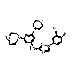 Fc1ccc(-n2cnc(Nc3cc(N4CCOCC4)nc(N4CCOCC4)c3)n2)cc1F